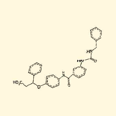 O=C(O)CC(Oc1ccc(NC(=O)c2cccc(NC(=O)NCc3ccccc3)c2)cc1)c1ccccc1